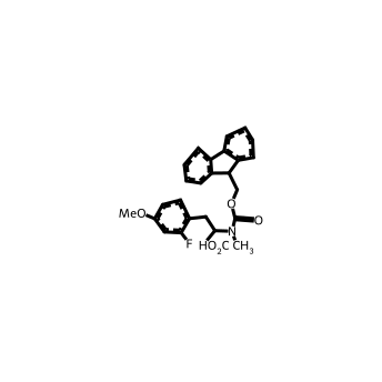 COc1ccc(CC(C(=O)O)N(C)C(=O)OCC2c3ccccc3-c3ccccc32)c(F)c1